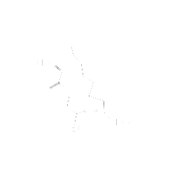 C=CC(=O)OCC(CC)CCCC.CCCCCCCCCCCCCCCCCC(=O)O